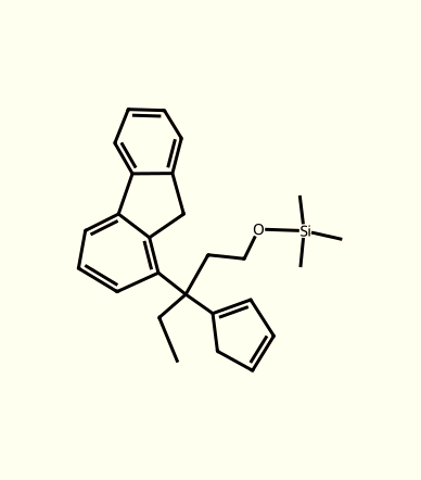 CCC(CCO[Si](C)(C)C)(C1=CC=CC1)c1cccc2c1Cc1ccccc1-2